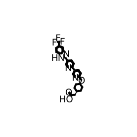 O=C(O)C[C@H]1CC[C@@H](Oc2ccc(-c3ccc(-c4nc5cc(C(F)(F)F)ccc5[nH]4)cn3)cn2)CC1